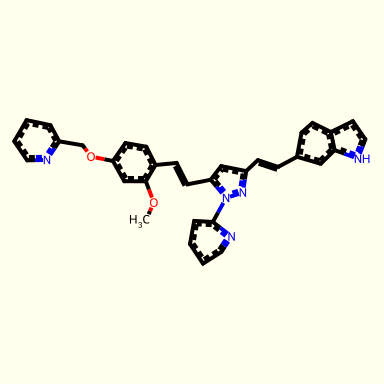 COc1cc(OCc2ccccn2)ccc1C=Cc1cc(C=Cc2ccc3cc[nH]c3c2)nn1-c1ccccn1